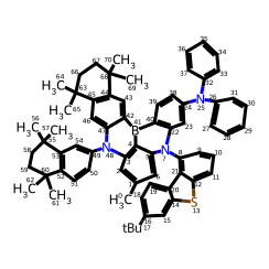 Cc1cc2c3c(c1)N(c1cccc4sc5cc(C(C)(C)C)ccc5c14)c1cc(N(c4ccccc4)c4ccccc4)ccc1B3c1cc3c(cc1N2c1ccc2c(c1)C(C)(C)CCC2(C)C)C(C)(C)CCC3(C)C